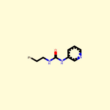 CC(C)CCNC(=O)Nc1cccnc1